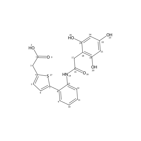 O=C(O)Cc1ccc(-c2ccccc2NC(=O)Cc2c(O)cc(O)cc2O)s1